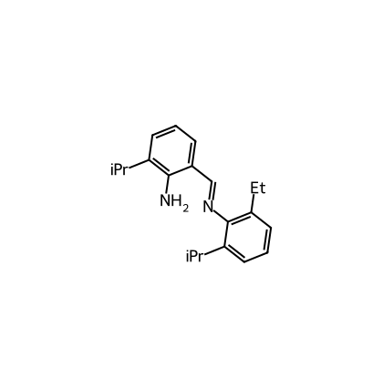 CCc1cccc(C(C)C)c1N=Cc1cccc(C(C)C)c1N